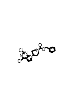 O=C(OCc1ccccc1)N1CCC(n2ccc3c(Cl)nc(Cl)nc32)CC1